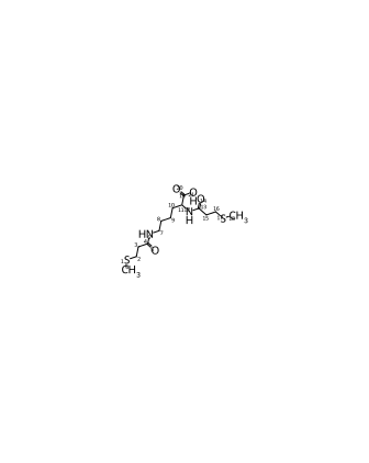 CSCCC(=O)NCCCCC(NC(=O)CCSC)C(=O)O